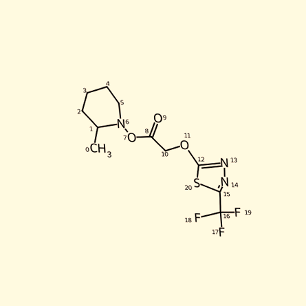 CC1CCCCN1OC(=O)COc1nnc(C(F)(F)F)s1